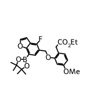 CCOC(=O)Cc1ccc(OC)cc1OCc1cc(B2OC(C)(C)C(C)(C)O2)c2occc2c1F